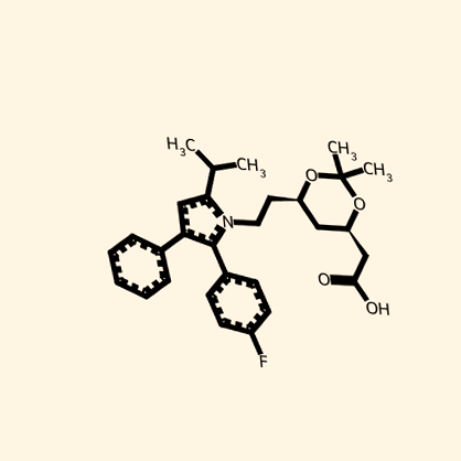 CC(C)c1cc(-c2ccccc2)c(-c2ccc(F)cc2)n1CC[C@@H]1C[C@H](CC(=O)O)OC(C)(C)O1